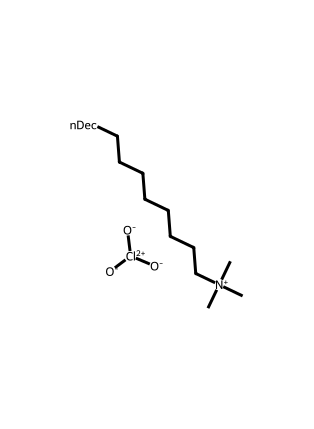 CCCCCCCCCCCCCCCCCC[N+](C)(C)C.[O-][Cl+2]([O-])[O-]